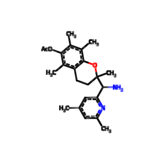 CC(=O)Oc1c(C)c(C)c2c(c1C)CCC(C)(C(N)c1cc(C)cc(C)n1)O2